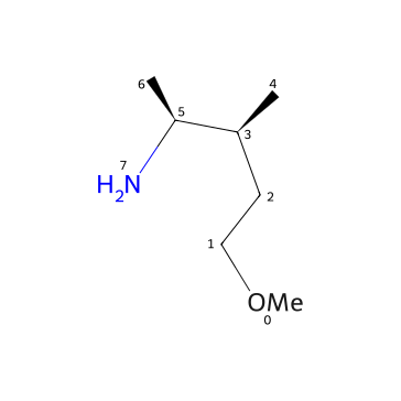 COCC[C@H](C)[C@H](C)N